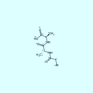 C[C@@H](NC(=O)[C@@H](C)NC(=O)CBr)C(=O)O